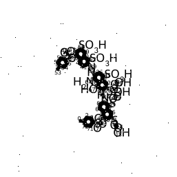 Cc1ccc(S(=O)(=O)Oc2cc(SOOO)cc3c(SOOO)c(N=Nc4c(SOOO)cc5c(S(=O)(=O)O)cc(N=Nc6ccc7c(OS(=O)(=O)c8ccc(C)cc8)cc(S(=O)(=O)O)cc7c6S(=O)(=O)O)c(N)c5c4O)ccc23)cc1